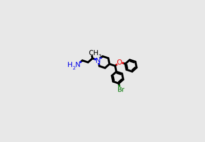 CC(CCN)N1CCC(C(Oc2ccccc2)c2ccc(Br)cc2)CC1